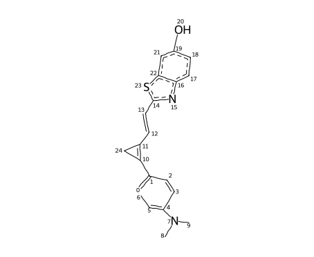 C=C(/C=C\C(=C/C)N(C)C)C1=C(/C=C/c2nc3ccc(O)cc3s2)C1